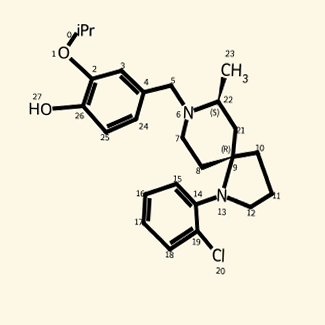 CC(C)Oc1cc(CN2CC[C@]3(CCCN3c3ccccc3Cl)C[C@@H]2C)ccc1O